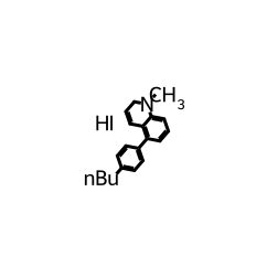 CCCCc1ccc(-c2cccc3c2C=CCN3C)cc1.I